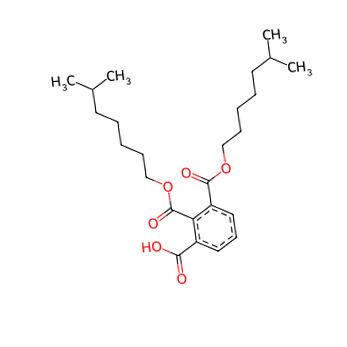 CC(C)CCCCCOC(=O)c1cccc(C(=O)O)c1C(=O)OCCCCCC(C)C